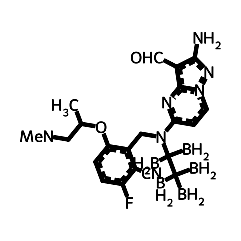 BC(B)(B)C(B)(B)N(Cc1c(OC(C)CNC)ccc(F)c1C#N)c1ccn2nc(N)c(C=O)c2n1